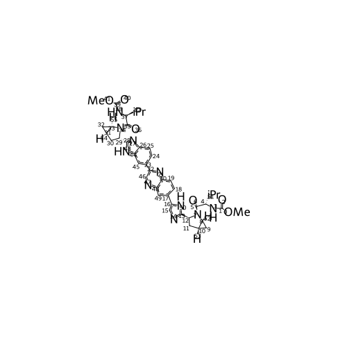 COC(=O)N[C@H](C(=O)N1[C@@H]2C[C@@H]2C[C@H]1c1ncc(-c2ccc3nc(-c4ccc5nc([C@@H]6C[C@H]7C[C@H]7N6C(=O)[C@@H](NC(=O)OC)C(C)C)[nH]c5c4)cnc3c2)[nH]1)C(C)C